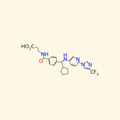 O=C(O)CCNC(=O)c1ccc([C@@H](Nc2ccc(-n3cnc(C(F)(F)F)c3)nc2)C2CCCC2)cc1